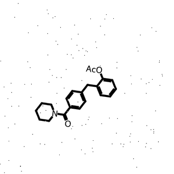 CC(=O)Oc1ccccc1Cc1ccc(C(=O)N2CCCCC2)cc1